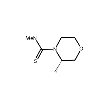 CNC(=S)N1CCOC[C@@H]1C